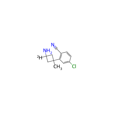 [2H]C1(N)CC(C)(c2cc(Cl)ccc2C#N)C1